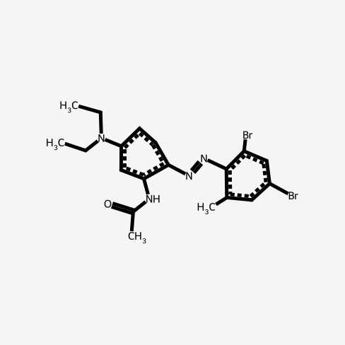 CCN(CC)c1ccc(N=Nc2c(C)cc(Br)cc2Br)c(NC(C)=O)c1